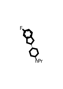 CCC[C@H]1CC[C@H](C2Cc3ccc(F)cc3C2)CC1